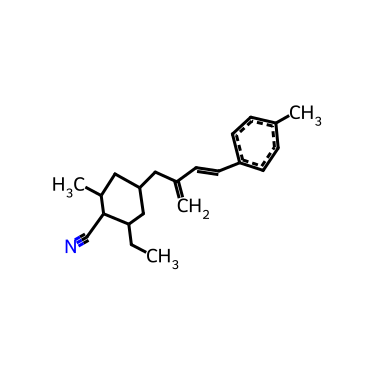 C=C(/C=C/c1ccc(C)cc1)CC1CC(C)C(C#N)C(CC)C1